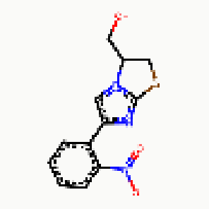 O=[N+]([O-])c1ccccc1-c1cn2c(n1)SCC2CO